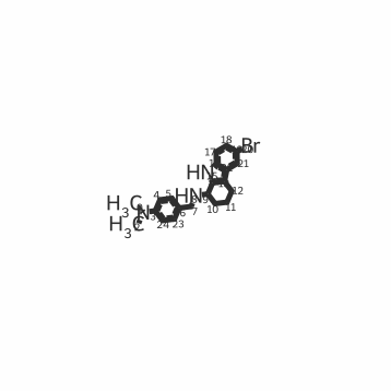 CN(C)c1ccc(CNC2CCCc3c2[nH]c2ccc(Br)cc32)cc1